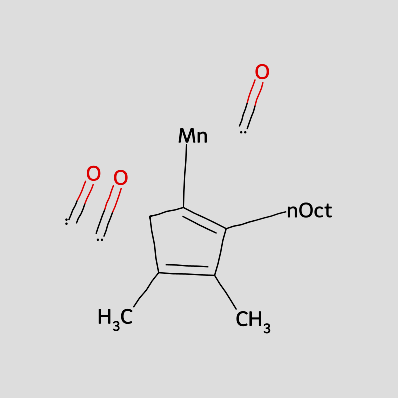 CCCCCCCCC1=[C]([Mn])CC(C)=C1C.[C]=O.[C]=O.[C]=O